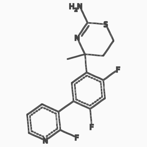 CC1(c2cc(-c3cccnc3F)c(F)cc2F)CCSC(N)=N1